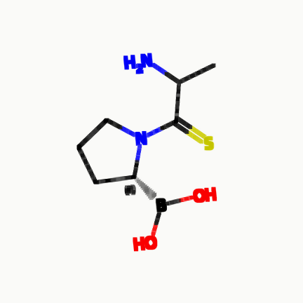 CC(N)C(=S)N1CCC[C@H]1B(O)O